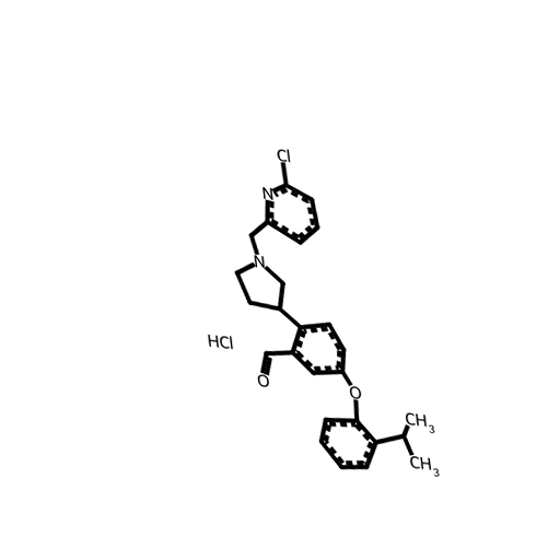 CC(C)c1ccccc1Oc1ccc(C2CCN(Cc3cccc(Cl)n3)C2)c(C=O)c1.Cl